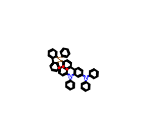 c1ccc(N(c2ccccc2)c2ccc(-c3ccc(S4(c5ccccc5)c5ccccc5-c5ccccc54)cc3)c(N(c3ccccc3)c3ccccc3)c2)cc1